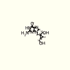 Nc1nc2c(ncn2C[C@@]2(CO)C[C@@H]2CO)c(=O)[nH]1